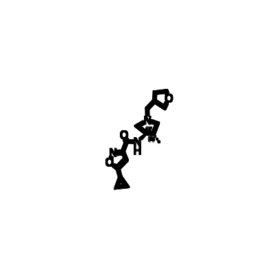 C[C@H]1CN(CC2CCOC2)C[C@@H]1NC(=O)c1cc(C2CC2)on1